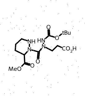 COC(=O)C1CCCNN1C(=O)N(CCC(=O)O)NC(=O)OC(C)(C)C